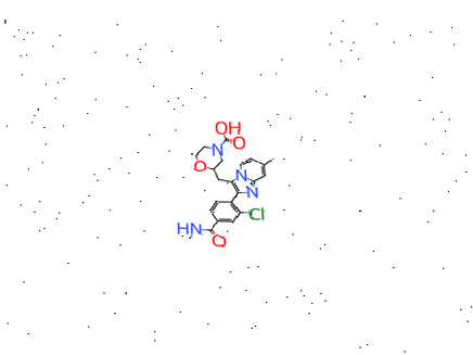 CNC(=O)c1ccc(-c2nc3cc(C)ccn3c2CC2CN(C(=O)O)CCO2)c(Cl)c1